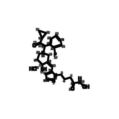 Cl.O=C(CCCn1nncc1C=C1CN(C(C(=O)C2CC2)c2ccccc2F)CCC1S)NO